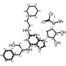 CCCN(C(=O)C(F)(F)F)[C@H]1C[C@@H](n2cnc3c(N[C@H](CO)Cc4ccccc4)nc(NCCN4CCCCC4)nc32)[C@H](O)[C@@H]1O